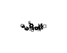 Cc1nc2c3c(nn2c(C)c1Cl)CN(C(=O)c1ccc(F)cc1O[C@@H]1CCN(C2COC2)C1)C3